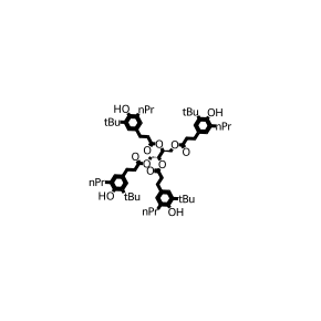 CCCc1cc(CCC(=O)OC[C@H](OC(=O)CCc2cc(CCC)c(O)c(C(C)(C)C)c2)[C@@H](COC(=O)CCc2cc(CCC)c(O)c(C(C)(C)C)c2)OC(=O)CCc2cc(CCC)c(O)c(C(C)(C)C)c2)cc(C(C)(C)C)c1O